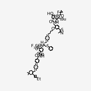 CCC12CC(C3=C(CN4CCN(c5ccc(C(=O)NS(=O)(=O)c6ccc(N[C@H](CCN7CCN(CCCCOc8cc(-c9scnc9C)ccc8CNC(=O)[C@@H]8C[C@@H](O)CN8C(=O)[C@@H](NC(=O)C8(F)CC8)C(C)(C)C)CC7)CSc7ccccc7)c(S(=O)(=O)C(F)(F)F)c6)cc5)CC4)CCC(C)(C)C3)(C1)C2